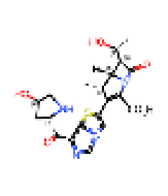 C[C@@H](O)[C@H]1C(=O)N2C(C(=O)O)=C(c3cn4cnc(C(=O)[C@@H]5C[C@@H](O)CN5)c4s3)[C@H](C)[C@H]12